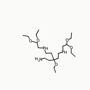 CCOC(CPCCC(CCN)(CCPCC(OCC)OCC)OCC)OCC